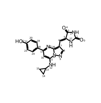 O=C1NC(=O)C(=Cc2cnn3c(NC4CC4)cc(-c4ccc(O)cc4)nc23)N1